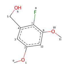 COc1cc(CO)c(F)c(OC)c1